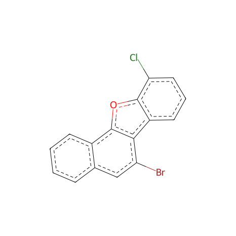 Clc1cccc2c1oc1c3ccccc3cc(Br)c21